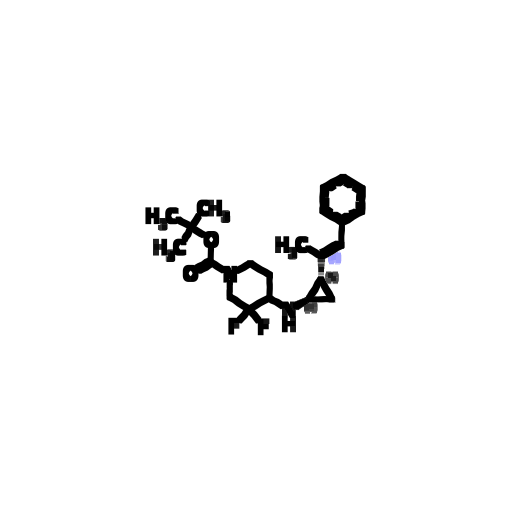 C/C(=C\c1ccccc1)[C@@H]1C[C@H]1NC1CCN(C(=O)OC(C)(C)C)CC1(F)F